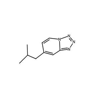 CC(C)Cc1ccn2nnnc2c1